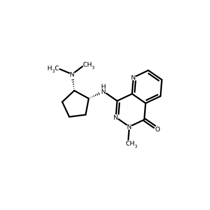 CN(C)[C@H]1CCC[C@H]1Nc1nn(C)c(=O)c2cccnc12